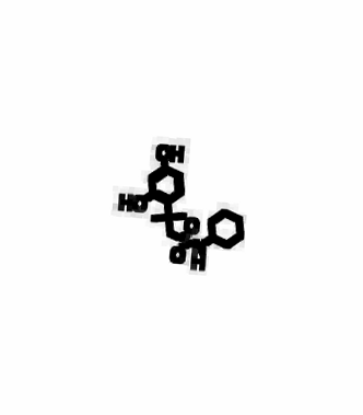 CC(C)(CS(=O)(=O)NC1CCCCC1)c1ccc(O)cc1O